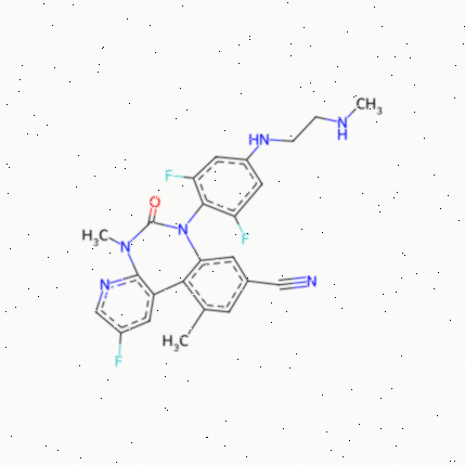 CNCCNc1cc(F)c(N2C(=O)N(C)c3ncc(F)cc3-c3c(C)cc(C#N)cc32)c(F)c1